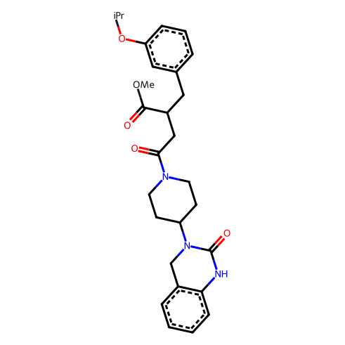 COC(=O)C(CC(=O)N1CCC(N2Cc3ccccc3NC2=O)CC1)Cc1cccc(OC(C)C)c1